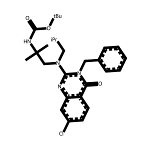 CC(C)CN(CC(C)(C)NC(=O)OC(C)(C)C)c1nc2cc(Cl)ccc2c(=O)n1Cc1ccccc1